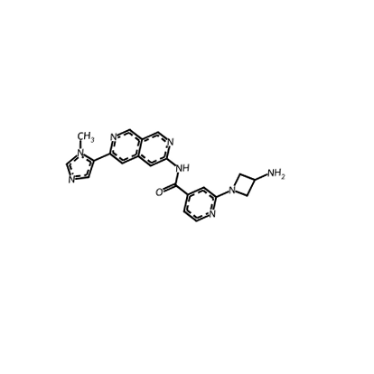 Cn1cncc1-c1cc2cc(NC(=O)c3ccnc(N4CC(N)C4)c3)ncc2cn1